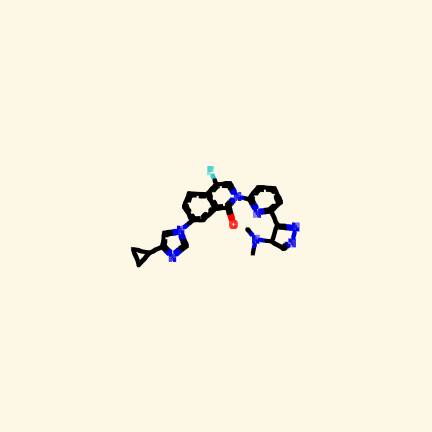 CN(C)C1C=NN=C1c1cccc(-n2cc(F)c3ccc(-n4cnc(C5CC5)c4)cc3c2=O)n1